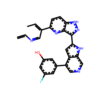 C=C/N=C\C(=C/C)c1ccc2[nH]nc(-c3cc4c(-c5cc(O)cc(F)c5)cncc4[nH]3)c2n1